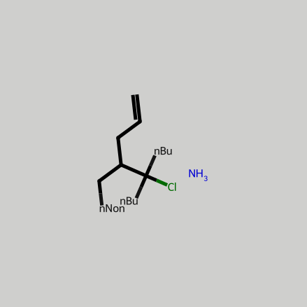 C=CCC(CCCCCCCCCC)C(Cl)(CCCC)CCCC.N